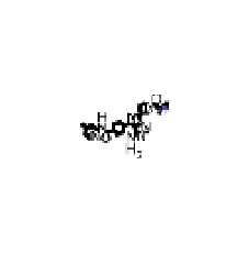 C/C=C(/C)C(=O)N1CCC(n2nc(-c3ccc(C(=O)Nc4cc(C)ccn4)cc3)c3c(N)ncnc32)C1